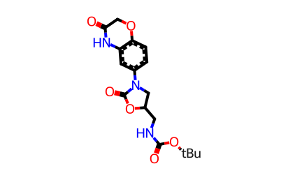 CC(C)(C)OC(=O)NCC1CN(c2ccc3c(c2)NC(=O)CO3)C(=O)O1